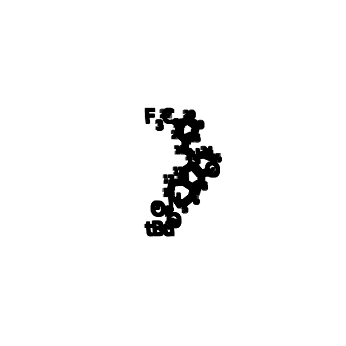 CC(C)(C)OC(=O)N1CCc2cc3c(cc2CC1)N(Cc1cccc(C(F)(F)F)c1)CCO3